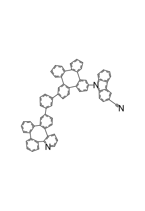 N#Cc1ccc2c(c1)c1ccccc1n2-c1ccc2c(c1)-c1ccccc1-c1ccccc1-c1cc(-c3cccc(-c4ccc5c(c4)-c4ccccc4-c4ccccc4-c4ncccc4-5)c3)ccc1-2